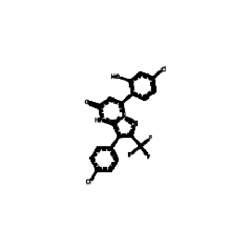 O=c1cc(-c2ccc(Cl)cc2O)n2nc(C(F)(F)F)c(-c3ccc(Cl)cc3)c2[nH]1